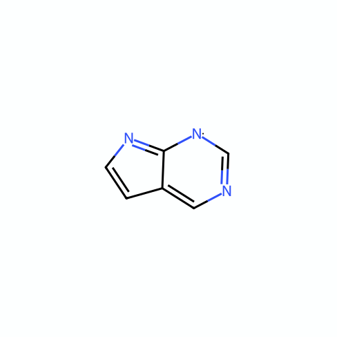 C1=CC2=CN=C[N]C2=N1